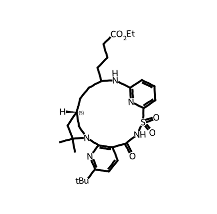 CCOC(=O)CCCC1CC[C@@H]2CN(c3nc(C(C)(C)C)ccc3C(=O)NS(=O)(=O)c3cccc(n3)N1)C(C)(C)C2